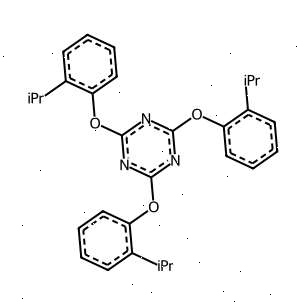 CC(C)c1ccccc1Oc1nc(Oc2ccccc2C(C)C)nc(Oc2ccccc2C(C)C)n1